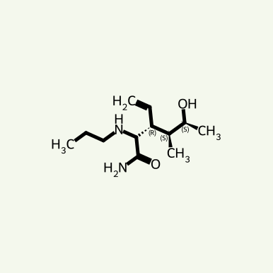 C=C[C@@H](C(NCCC)C(N)=O)[C@H](C)[C@H](C)O